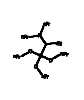 CCCO[Si](OCCC)(OCCC)C(CC)N(CCC)CCC